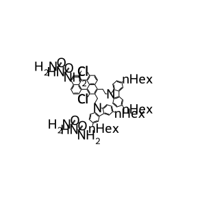 CCCCCCc1ccc2c(c1)c1cc(CCCCCC)ccc1n2CCc1c(CCn2c3ccc(CCCCCC)cc3c3cc(CCCCCC)ccc32)c2ccc(Cl)c3c4c(Cl)ccc5ccc(Cl)c(c(c1Cl)c23)c54.NC(=O)NC(N)=O.NC(=O)NC(N)=O